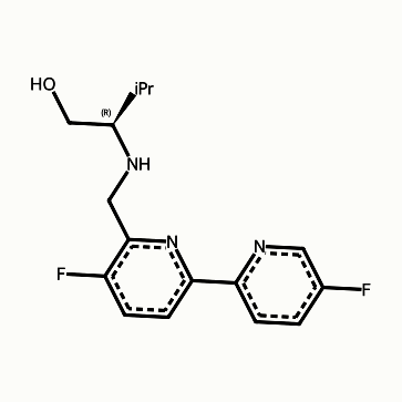 CC(C)[C@H](CO)NCc1nc(-c2ccc(F)cn2)ccc1F